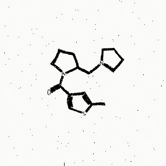 Cc1cc(C(=O)N2CCCC2CN2CCCC2)cs1